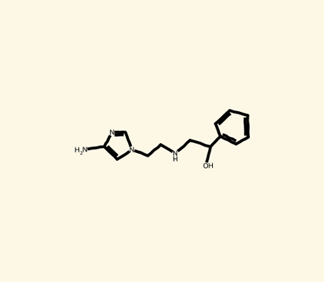 Nc1cn(CCNCC(O)c2ccccc2)cn1